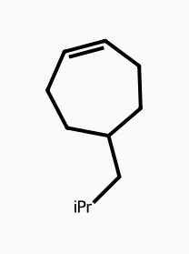 CC(C)CC1CCC=CCC1